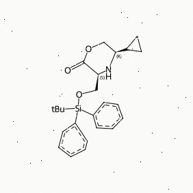 CC(C)(C)[Si](OC[C@@H]1N[C@H](C2CC2)COC1=O)(c1ccccc1)c1ccccc1